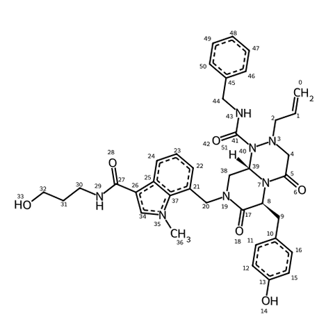 C=CCN1CC(=O)N2[C@@H](Cc3ccc(O)cc3)C(=O)N(Cc3cccc4c(C(=O)NCCCO)cn(C)c34)C[C@@H]2N1C(=O)NCc1ccccc1